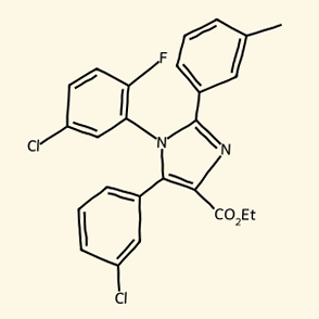 CCOC(=O)c1nc(-c2cccc(C)c2)n(-c2cc(Cl)ccc2F)c1-c1cccc(Cl)c1